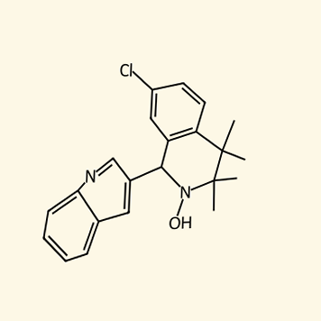 CC1(C)c2ccc(Cl)cc2C(c2cnc3ccccc3c2)N(O)C1(C)C